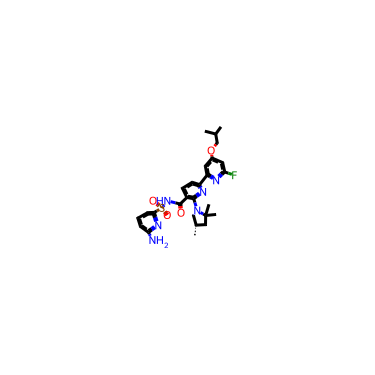 CC(C)COc1cc(F)nc(-c2ccc(C(=O)NS(=O)(=O)c3cccc(N)n3)c(N3C[C@@H](C)CC3(C)C)n2)c1